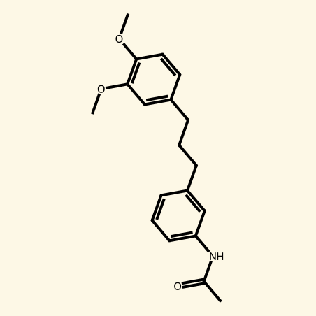 COc1ccc(CCCc2cccc(NC(C)=O)c2)cc1OC